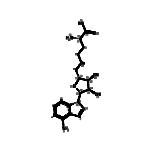 Nc1ncnc2c1N=N[C@H]2[C@@H]1O[C@H](C[Se]CC[C@H](N)C(=O)O)[C@@H](O)[C@H]1O